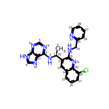 C[C@H](Nc1ncnc2[nH]cnc12)c1cc2cccc(Cl)c2nc1NCc1ccccn1